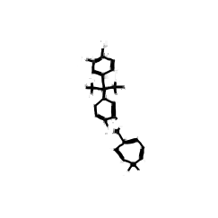 CC1(Br)C=CC=C(c2nc3c(o2)=CC(C(c2ccc(N)c(N)c2)(C(F)(F)F)C(F)(F)F)CC=3)C=C1